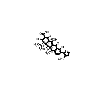 C[C@H]1c2ccc(-c3occc3C=O)c(O)c2C(=O)C2=C(O)[C@]3(O)C(=O)C(C(N)=O)=C(O)[C@@H](N(C)C)[C@@H]3[C@@H](O)[C@@H]21